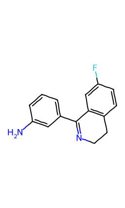 Nc1cccc(C2=NCCc3ccc(F)cc32)c1